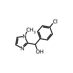 Cn1ccnc1C(O)c1ccc(Cl)cc1